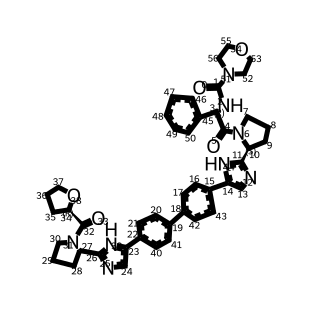 O=C(N[C@@H](C(=O)N1CCC[C@H]1c1ncc(-c2ccc(-c3ccc(-c4cnc(C5CCCN5C(=O)[C@H]5CCCO5)[nH]4)cc3)cc2)[nH]1)c1ccccc1)N1CCOCC1